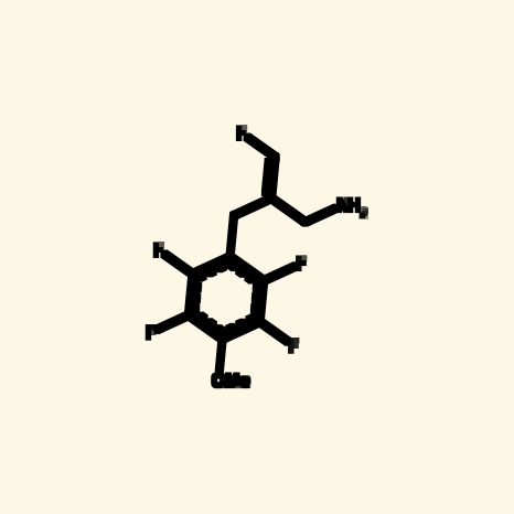 COc1c(F)c(F)c(C/C(=C\F)CN)c(F)c1F